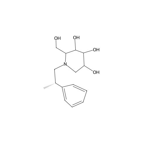 C[C@H](CN1CC(O)C(O)C(O)C1CO)c1ccccc1